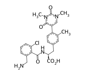 Cc1cc(C[C@H](NC(=O)c2c(Cl)cccc2CN)C(=O)O)ccc1-c1cn(C)c(=O)n(C)c1=O